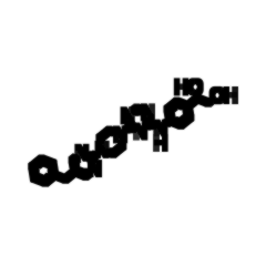 OCC(O)c1ccc(Nc2ncnc(N3CCN(c4ncc(Cc5ccccc5)cn4)CC3)n2)cc1